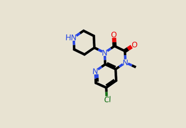 Cn1c(=O)c(=O)n(C2CCNCC2)c2ncc(Cl)cc21